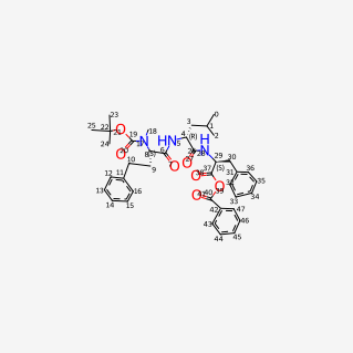 CC(C)C[C@@H](NC(=O)[C@H](CCc1ccccc1)N(C)C(=O)OC(C)(C)C)C(=O)N[C@@H](Cc1ccccc1)C(=O)OC(=O)c1ccccc1